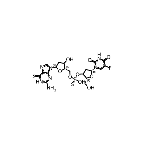 Nc1nc2c(ncn2[C@H]2CC(O)[C@@H](COP(O)(=S)OC3C[C@H](n4cc(F)c(=O)[nH]c4=O)O[C@@H]3CO)O2)c(=S)[nH]1